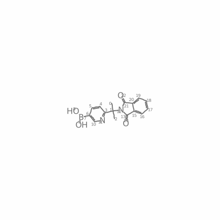 CC(C)(c1ccc(B(O)O)cn1)N1C(=O)c2ccccc2C1=O